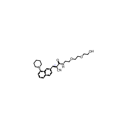 N#C/C(=C\c1ccc2cccc(N3CCCCC3)c2c1)C(=O)NCCOCCOCCO